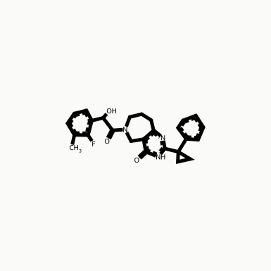 Cc1cccc(C(O)C(=O)N2CCCc3nc(C4(c5ccccc5)CC4)[nH]c(=O)c3C2)c1F